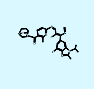 C=N/C(=C(F)\C=N/c1ccc(C(=O)N2CCN3CCC2CC3)c(C)n1)c1cc(F)c2nc(C)n(C(C)C)c2c1